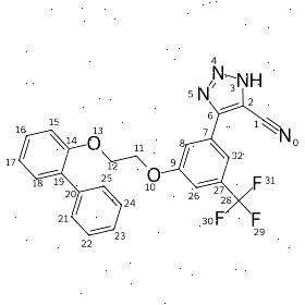 N#Cc1[nH]nnc1-c1cc(OCCOc2ccccc2-c2ccccc2)cc(C(F)(F)F)c1